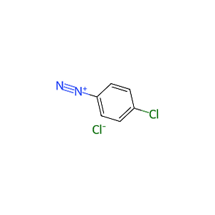 N#[N+]c1ccc(Cl)cc1.[Cl-]